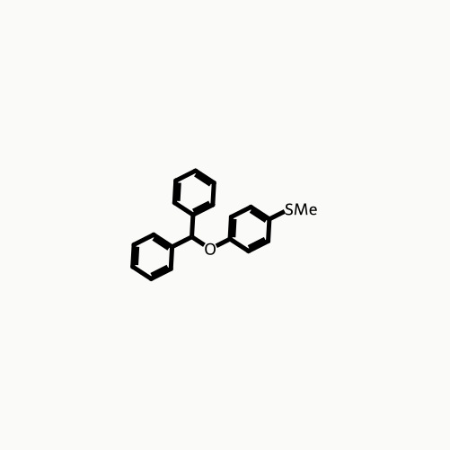 CSc1ccc(OC(c2ccccc2)c2ccccc2)cc1